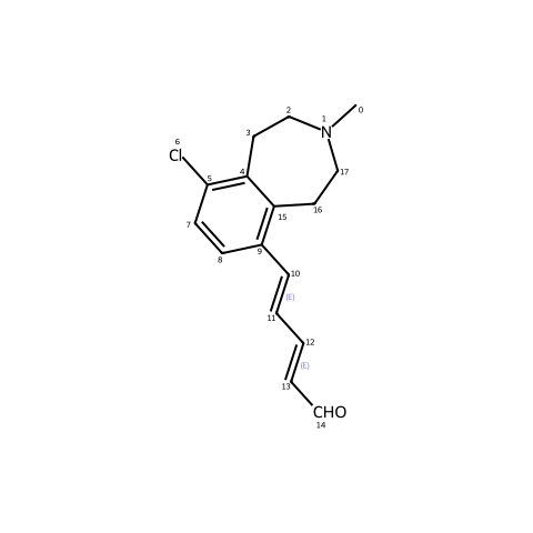 CN1CCc2c(Cl)ccc(/C=C/C=C/C=O)c2CC1